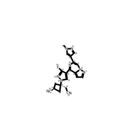 Cn1cc(-c2cn3nccc3c(-c3cn([C@]4(CC#N)C[C@H](C#N)C4)nc3F)n2)cn1